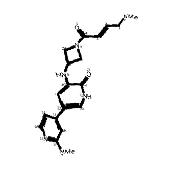 CNC/C=C/C(=O)N1CC(Nc2cc(-c3ccnc(NC)c3)c[nH]c2=O)C1